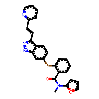 CN(C(=O)c1ccccc1Sc1ccc2c(/C=C/c3ccccn3)n[nH]c2c1)c1ccco1